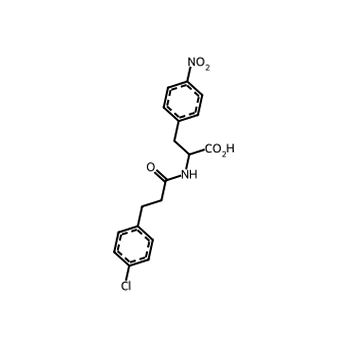 O=C(CCc1ccc(Cl)cc1)NC(Cc1ccc([N+](=O)[O-])cc1)C(=O)O